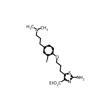 CCOC(=O)c1nc(N)sc1CCCOc1ccc(CCCN(C)C)cc1F